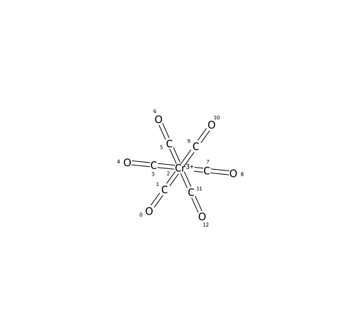 O=[C]=[Cr+3](=[C]=O)(=[C]=O)(=[C]=O)(=[C]=O)=[C]=O